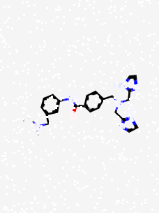 CCCN(CCC)Cc1cccc(NC(=O)c2ccc(CN(Cc3ncc[nH]3)Cc3ncc[nH]3)cc2)c1